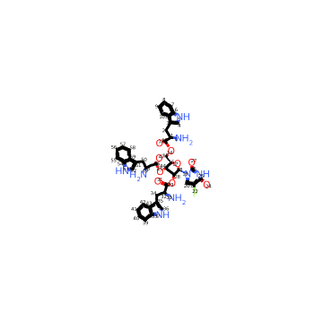 NC(Cc1c[nH]c2ccccc12)C(=O)OC[C@H]1O[C@@H](n2cc(F)c(=O)[nH]c2=O)C(OC(=O)C(N)Cc2c[nH]c3ccccc23)C1OC(=O)C(N)Cc1c[nH]c2ccccc12